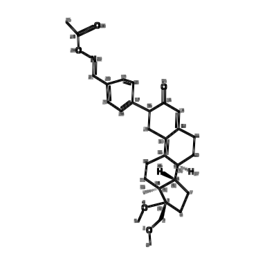 COC[C@]1(OC)CC[C@H]2[C@@H]3CCC4=CC(=O)C(c5ccc(C=NOC(C)=O)cc5)CC4=C3CC[C@@]21C